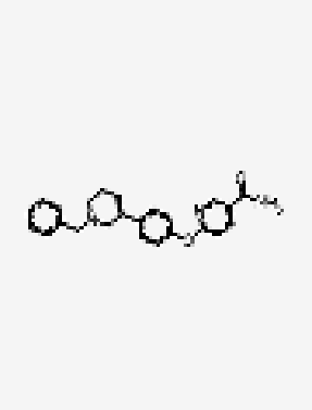 NC(=O)c1ccc(Oc2ccc(C3=CCCN(Cc4ccccc4)C3)cc2)nc1